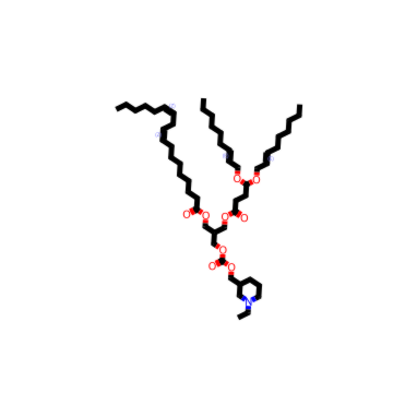 CCCCC/C=C\C/C=C\CCCCCCCC(=O)OCC(COC(=O)CCC(OC/C=C/CCCCCC)OC/C=C/CCCCCC)COC(=O)OCC1CCCN(CC)C1